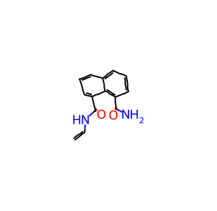 C=CNC(=O)c1cccc2cccc(C(N)=O)c12